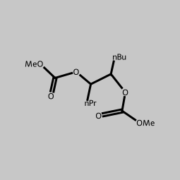 CCCC[C](OC(=O)OC)C(CCC)OC(=O)OC